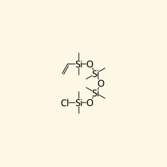 C=C[Si](C)(C)O[Si](C)(C)O[Si](C)(C)O[Si](C)(C)Cl